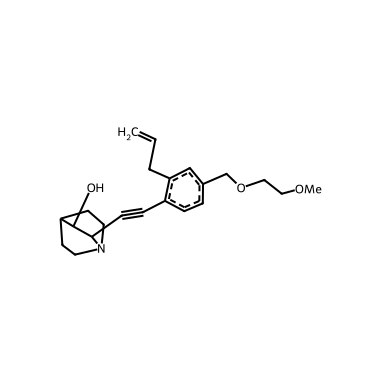 C=CCc1cc(COCCOC)ccc1C#CC1C(O)C2CCN1CC2